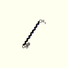 CC/C=C/C/C=C/C/C=C/C/C=C/CCCC([C]=O)[N+](=O)[O-]